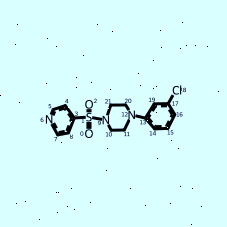 O=S(=O)(c1ccncc1)N1CCN(c2cccc(Cl)c2)CC1